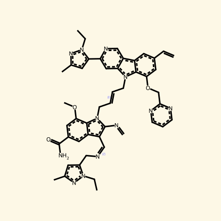 C=Cc1cc(OCc2ncccn2)c2c(c1)c1cnc(-c3cc(C)nn3CC)cc1n2C/C=C/Cn1c(N=C)c(/C=N\Cc2cc(C)nn2CC)c2cc(C(N)=O)cc(OC)c21